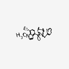 CCc1ccc(C(=O)NCc2ccccn2)c2ccn(C)c12